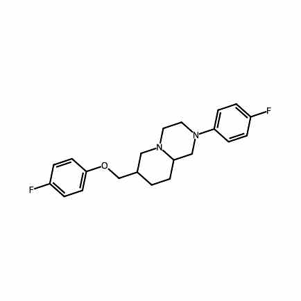 Fc1ccc(OCC2CCC3CN(c4ccc(F)cc4)CCN3C2)cc1